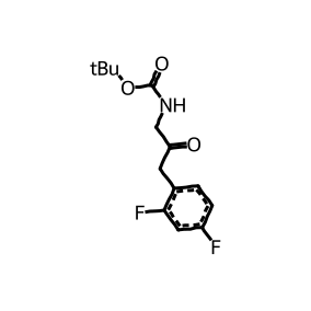 CC(C)(C)OC(=O)NCC(=O)Cc1ccc(F)cc1F